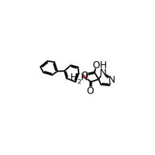 NC(=O)C1(C(=O)O)C=CN=N1.c1ccc(-c2ccccc2)cc1